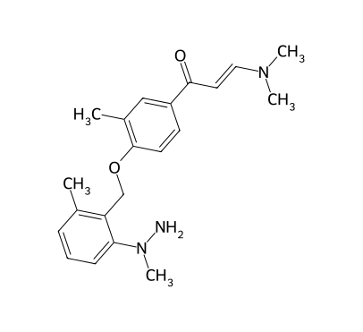 Cc1cc(C(=O)/C=C/N(C)C)ccc1OCc1c(C)cccc1N(C)N